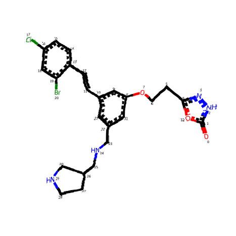 O=c1[nH]nc(CCOc2cc(/C=C/c3ccc(Cl)cc3Br)cc(CNCC3CCNC3)c2)o1